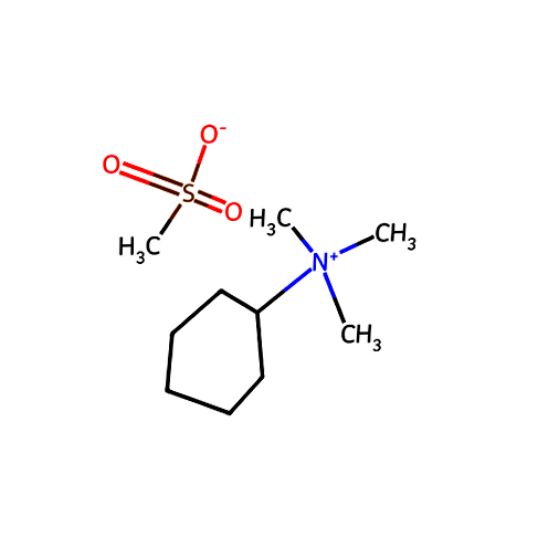 CS(=O)(=O)[O-].C[N+](C)(C)C1CCCCC1